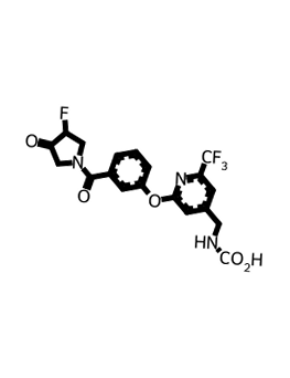 O=C(O)NCc1cc(Oc2cccc(C(=O)N3CC(=O)C(F)C3)c2)nc(C(F)(F)F)c1